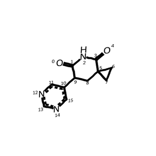 O=C1NC(=O)C2(CC2)CC1c1cncnc1